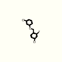 Fc1cc(Cl)ccc1COc1cccc(Cl)c1